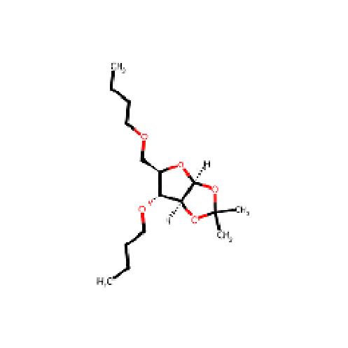 CCCCOC[C@H]1O[C@H]2OC(C)(C)O[C@H]2[C@@H]1OCCCC